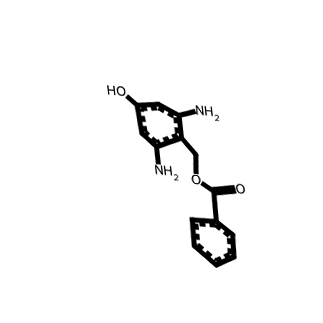 Nc1cc(O)cc(N)c1COC(=O)c1ccccc1